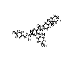 O=C(Nc1ccc(S(=O)(=O)N2CCOCC2)cc1)c1cnc(NCCc2ccc(F)cc2)nc1NC1CCC(O)CC1